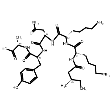 CC[C@H](C)CC(=O)N[C@@H](CCCCN)C(=O)N[C@@H](CCCCN)C(=O)N[C@@H](CC(N)=O)C(=O)N[C@@H](Cc1ccc(O)cc1)C(=O)N[C@@H](C)C(=O)O